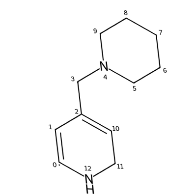 [C]1=CC(CN2CCCCC2)=CCN1